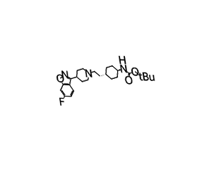 CC(C)(C)OC(=O)N[C@H]1CC[C@H](CCN2CCC(c3noc4cc(F)ccc34)CC2)CC1